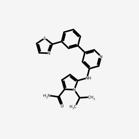 CC(C)n1c(Nc2cncc(-c3cccc(-c4nccs4)c3)c2)ccc1C(N)=O